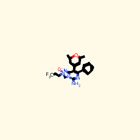 CC1C=C(C2=C(c3ccccc3)N=C(N)N3C[N+]([O-])(CCC(F)(F)F)N=C23)CC(C)O1